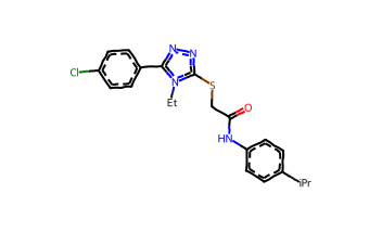 CCn1c(SCC(=O)Nc2ccc(C(C)C)cc2)nnc1-c1ccc(Cl)cc1